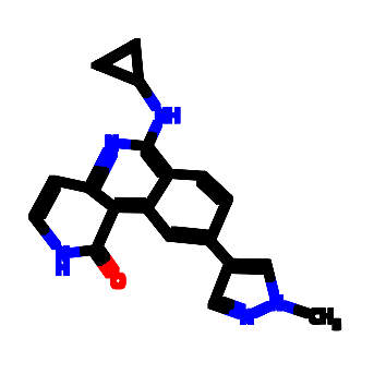 Cn1cc(-c2ccc3c(NC4CC4)nc4cc[nH]c(=O)c4c3c2)cn1